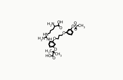 CC(C)(Oc1cccc(OCCCOc2cccc(OS(C)(=O)=O)c2)c1)C(=O)O.N=C(N)NCCCC(N)C(=O)O